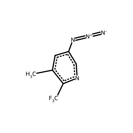 Cc1cc(N=[N+]=[N-])cnc1C(F)(F)F